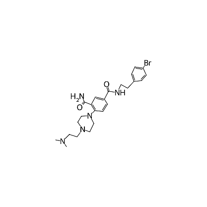 CN(C)CCN1CCN(c2ccc(C(=O)NCCc3ccc(Br)cc3)cc2C(N)=O)CC1